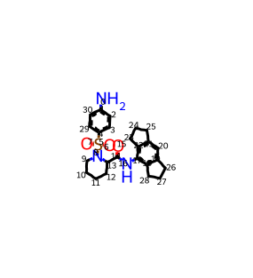 Nc1ccc(S(=O)(=O)N2CCCCC2C(=O)Nc2c3c(cc4c2CCC4)CCC3)cc1